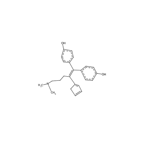 CN(C)CCCC(C1=CC=CC1)=C(c1ccc(O)cc1)c1ccc(O)cc1